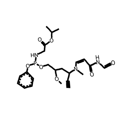 C#CC(CC(COP(NCC(=O)OC(C)C)Oc1ccccc1)OC)N(C)/C=C\C(=O)NC=O